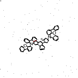 c1ccc(-c2ccccc2N(c2ccc3c(c2)c2ccccc2c2c4ccc(N(c5ccccc5)c5cccc6c5oc5ccccc56)cc4sc32)c2cccc3c2oc2ccccc23)cc1